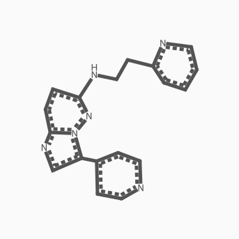 c1ccc(CCNc2ccc3ncc(-c4ccncc4)n3n2)nc1